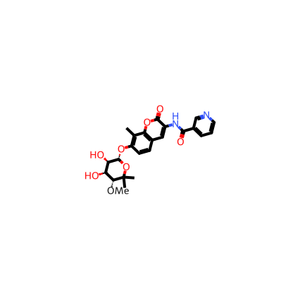 CO[C@@H]1[C@@H](O)[C@@H](O)[C@H](Oc2ccc3cc(NC(=O)c4cccnc4)c(=O)oc3c2C)OC1(C)C